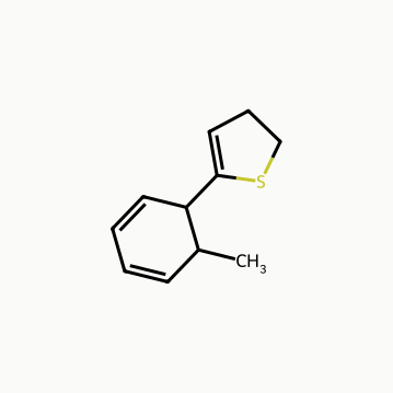 CC1C=CC=CC1C1=CCCS1